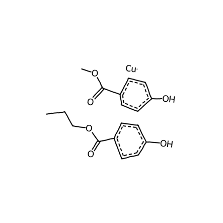 CCCOC(=O)c1ccc(O)cc1.COC(=O)c1ccc(O)cc1.[Cu]